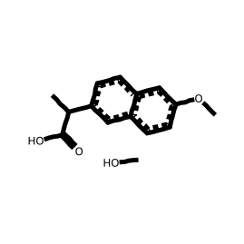 CO.COc1ccc2cc(C(C)C(=O)O)ccc2c1